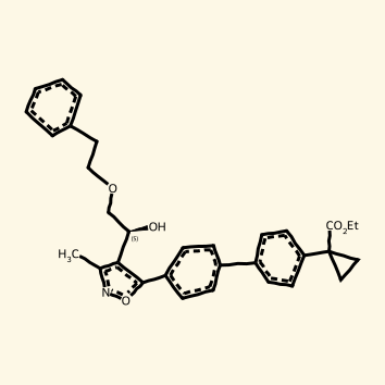 CCOC(=O)C1(c2ccc(-c3ccc(-c4onc(C)c4[C@H](O)COCCc4ccccc4)cc3)cc2)CC1